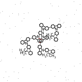 CC1(C)c2ccccc2-c2ccc(-n3c4ccccc4c4ccc(-c5ccc6c(c5)c5ccccc5n6-c5ccc(-n6c7ccccc7c7cc(-c8ccc9c%10ccccc%10n(-c%10ccc%11c(c%10)C(C)(C)c%10ccccc%10-%11)c9c8)ccc76)c(-n6c7ccccc7c7cc(-c8ccc9c%10ccccc%10n(-c%10ccc%11c(c%10)C(C)(C)c%10ccccc%10-%11)c9c8)ccc76)n5)cc43)cc21